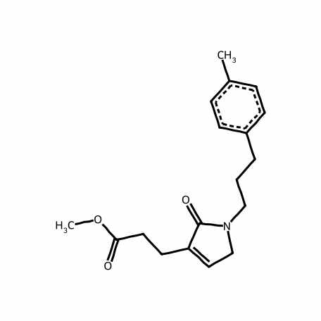 COC(=O)CCC1=CCN(CCCc2ccc(C)cc2)C1=O